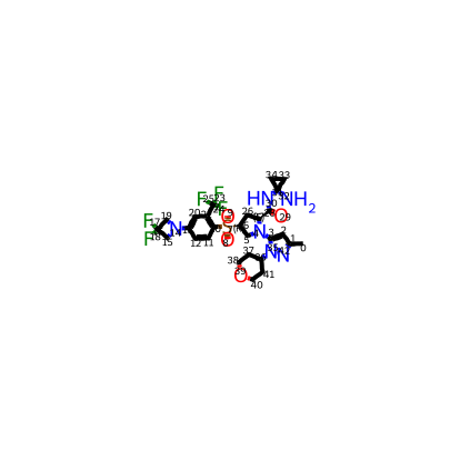 Cc1cc(N2C[C@H](S(=O)(=O)c3ccc(N4CC(F)(F)C4)cc3C(F)(F)F)C[C@H]2C(=O)NC2(N)CC2)n(C2CCOCC2)n1